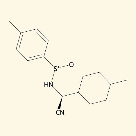 Cc1ccc([S+]([O-])N[C@H](C#N)C2CCC(C)CC2)cc1